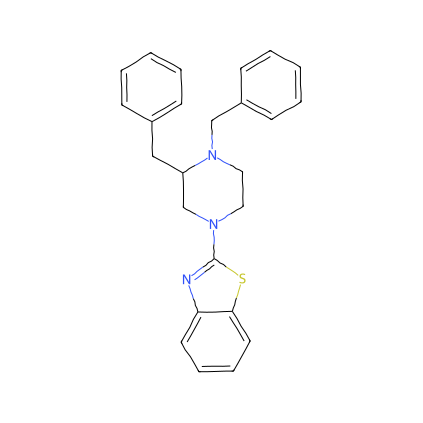 c1ccc(CC2CN(c3nc4ccccc4s3)CCN2Cc2ccccc2)cc1